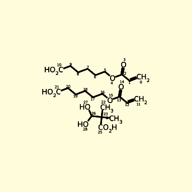 C=CC(=O)OCCCCCC(=O)O.C=CC(=O)OCCCCCC(=O)O.CC(C)(C(=O)O)C(O)O